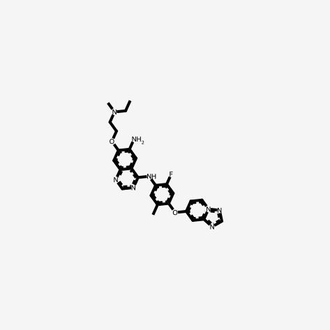 CCN(C)CCOc1cc2ncnc(Nc3cc(C)c(Oc4ccn5ncnc5c4)cc3F)c2cc1N